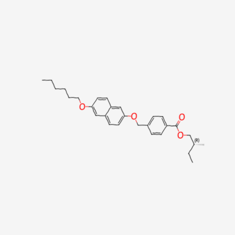 CCCCCCOc1ccc2cc(OCc3ccc(C(=O)OC[C@H](C)CC)cc3)ccc2c1